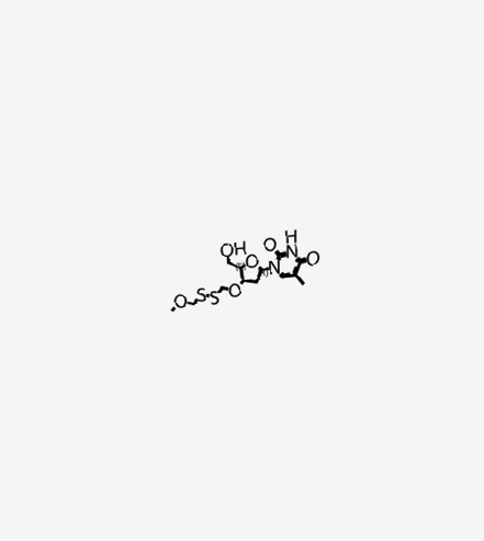 COCSSCOC1C[C@H](n2cc(C)c(=O)[nH]c2=O)O[C@@H]1CO